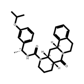 CC(C)Oc1cccc([C@@H](C)NC(=O)N2CCC[C@H]3C(=O)N4CCc5ccccc5[C@H]4C[C@H]32)c1